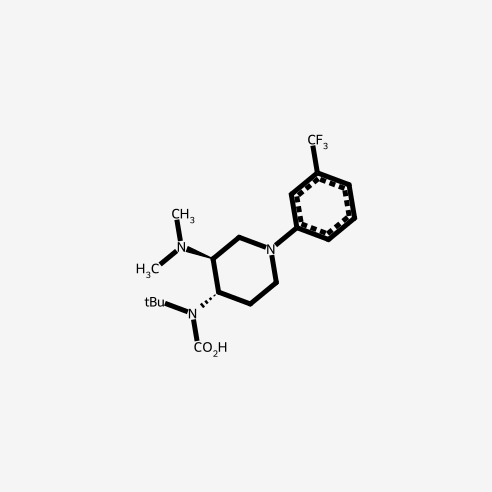 CN(C)[C@H]1CN(c2cccc(C(F)(F)F)c2)CC[C@@H]1N(C(=O)O)C(C)(C)C